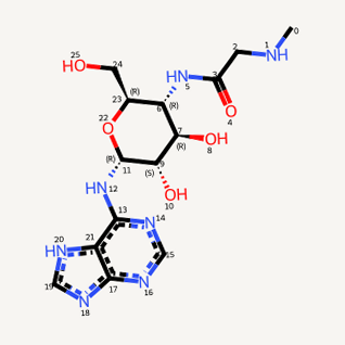 CNCC(=O)N[C@@H]1[C@@H](O)[C@H](O)[C@H](Nc2ncnc3nc[nH]c23)O[C@H]1CO